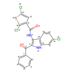 O=C(Nc1c(C(=O)c2ccccc2)[nH]c2cc(Cl)ccc12)c1cc(Cl)sc1Cl